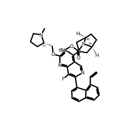 C=Cc1cccc2cccc(-c3ncc4c(N5C[C@H]6CC[C@@H](C5)N6C(=O)OC(C)(C)C)nc(OC[C@@H]5CCCN5C)nc4c3F)c12